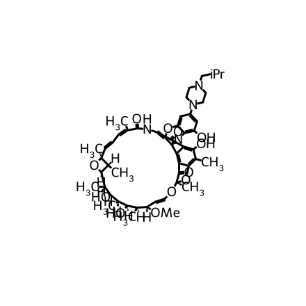 CO[C@H]1/C=C/O[C@@]2(C)Oc3c(C)c(O)c4c(=O)c(c5oc6cc(N7CCN(CC(C)C)CC7)cc(O)c6nc-5c4c3C2=O)NC(=O)/C(C)=C\C=C\[C@]2(C)O[C@H]([C@@H](C)[C@@H](O)[C@@H](C)[C@H](O)[C@@H]1C)[C@H]2C